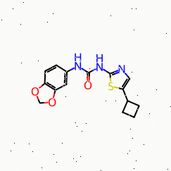 O=C(Nc1ccc2c(c1)OCO2)Nc1ncc(C2CCC2)s1